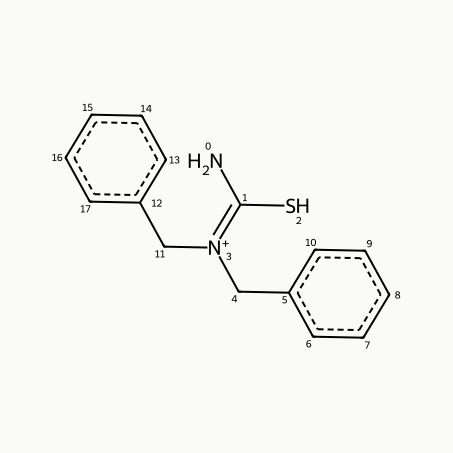 NC(S)=[N+](Cc1ccccc1)Cc1ccccc1